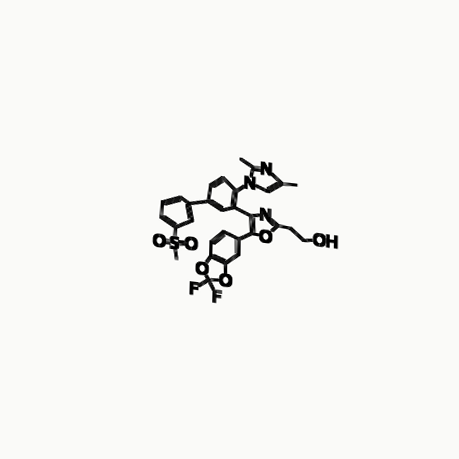 Cc1cn(-c2ccc(-c3cccc(S(C)(=O)=O)c3)cc2-c2nc(CCO)oc2-c2ccc3c(c2)OC(F)(F)O3)c(C)n1